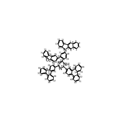 c1ccc2cc3c(cc2c1)c1ccccc1n3-c1ccc(C2=NC(c3ccc4c5ccccc5c5ccccc5c4c3)=NC(c3ccc4c5ccccc5c5ccccc5c4c3)N2)c(-c2ccc3oc4ccccc4c3c2)c1